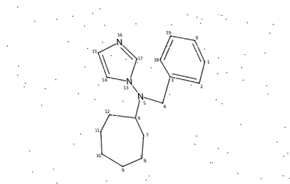 c1ccc(CN(C2CCCCCC2)n2ccnc2)cc1